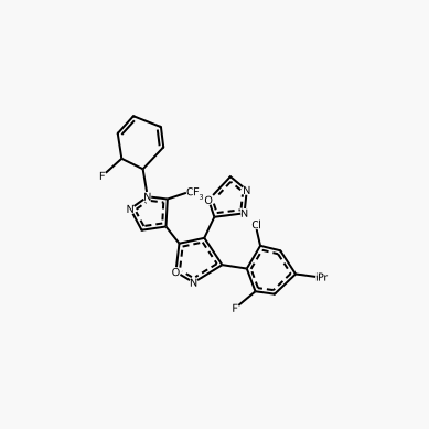 CC(C)c1cc(F)c(-c2noc(-c3cnn(C4C=CC=CC4F)c3C(F)(F)F)c2-c2nnco2)c(Cl)c1